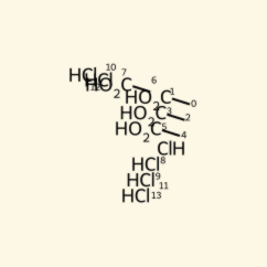 CC(=O)O.CC(=O)O.CC(=O)O.CC(=O)O.Cl.Cl.Cl.Cl.Cl.Cl